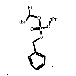 CCCOP(=O)(OCc1ccccc1)OC(CC)C(C)(C)C